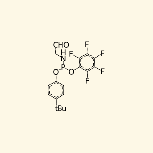 CC(C)(C)c1ccc(OP(NCC=O)Oc2c(F)c(F)c(F)c(F)c2F)cc1